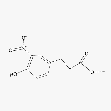 COC(=O)CCc1ccc(O)c([N+](=O)[O-])c1